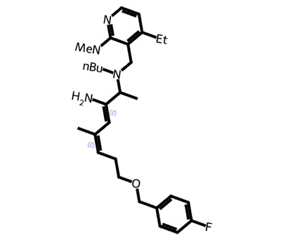 CCCCN(Cc1c(CC)ccnc1NC)C(C)/C(N)=C/C(C)=C\CCOCc1ccc(F)cc1